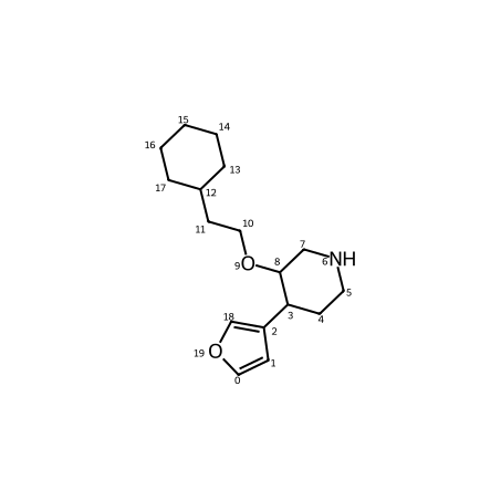 c1cc(C2CCNCC2OCCC2CCCCC2)co1